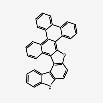 c1ccc2c(c1)[nH]c1ccc3oc4c5c6ccccc6c6ccccc6c5c5ccccc5c4c3c12